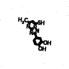 Cc1cc(S)n2nc(-c3ccc(O)c(O)c3)nc2n1